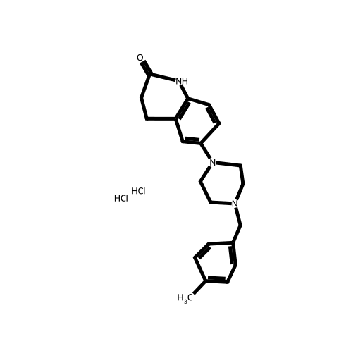 Cc1ccc(CN2CCN(c3ccc4c(c3)CCC(=O)N4)CC2)cc1.Cl.Cl